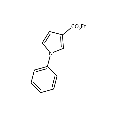 CCOC(=O)c1ccn(-c2ccccc2)c1